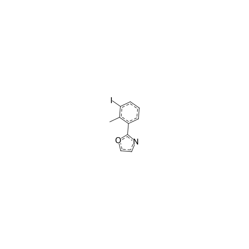 Cc1c(I)cccc1-c1ncco1